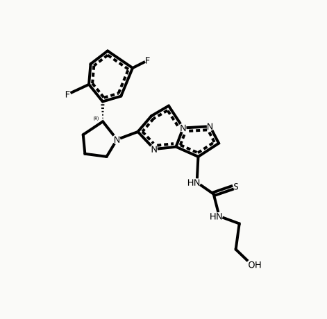 OCCNC(=S)Nc1cnn2ccc(N3CCC[C@@H]3c3cc(F)ccc3F)nc12